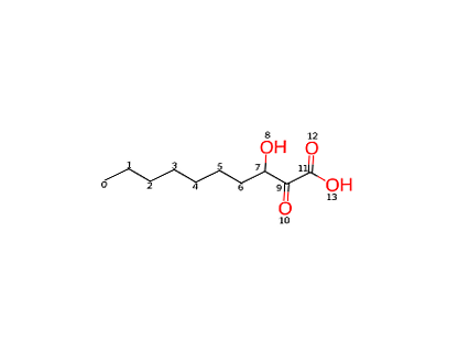 CCCCCCCC(O)C(=O)C(=O)O